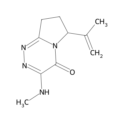 C=C(C)C1CCc2nnc(NC)c(=O)n21